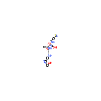 Cc1ncsc1-c1ccc([C@H](C)NC(=O)[C@@H]2C[C@@H](O)CN2C(=O)C(NC(=O)CCCCNc2ccc(-c3cnnc(-c4ccccc4O)c3)cc2)C(C)(C)C)cc1